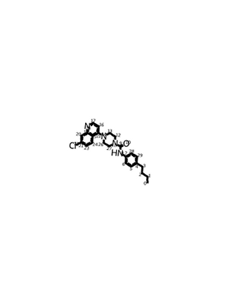 CCCCc1ccc(NC(=O)N2CCN(c3ccnc4cc(Cl)ccc34)CC2)cc1